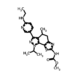 CCNc1ccc(-c2nn(C(C)C)c3c2C(C)Cc2nc(NC(=O)OC)sc2-3)cn1